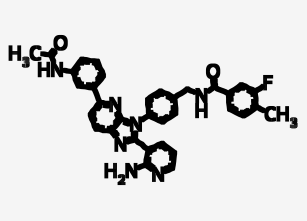 CC(=O)Nc1cccc(-c2ccc3nc(-c4cccnc4N)n(-c4ccc(CNC(=O)c5ccc(C)c(F)c5)cc4)c3n2)c1